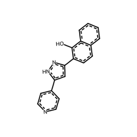 Oc1c(-c2cc(-c3ccncc3)[nH]n2)ccc2ccccc12